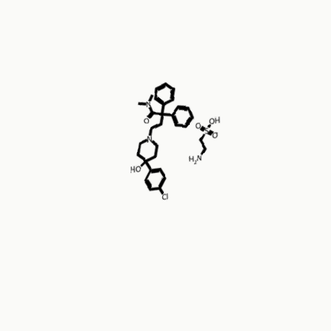 CN(C)C(=O)C(CCN1CCC(O)(c2ccc(Cl)cc2)CC1)(c1ccccc1)c1ccccc1.NCCS(=O)(=O)O